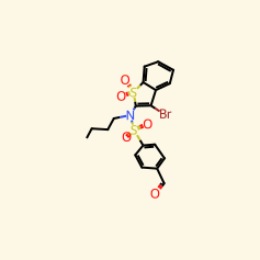 CCCCN(C1=C(Br)c2ccccc2S1(=O)=O)S(=O)(=O)c1ccc(C=O)cc1